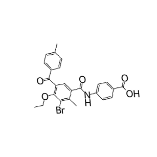 CCOc1c(C(=O)c2ccc(C)cc2)cc(C(=O)Nc2ccc(C(=O)O)cc2)c(C)c1Br